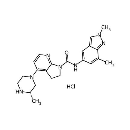 Cc1cc(NC(=O)N2CCc3c(N4CCN[C@@H](C)C4)ccnc32)cc2cn(C)nc12.Cl